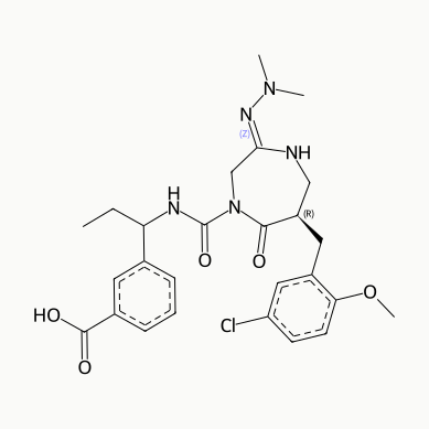 CCC(NC(=O)N1C/C(=N/N(C)C)NC[C@@H](Cc2cc(Cl)ccc2OC)C1=O)c1cccc(C(=O)O)c1